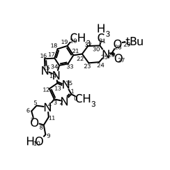 Cc1nc(N2CCOC(CO)C2)cc(-n2ncc3cc(C)c(C4CCN(C(=O)OC(C)(C)C)C(C)C4)cc32)n1